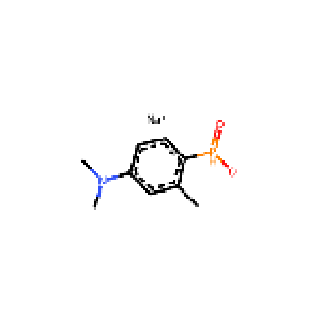 Cc1cc(N(C)C)ccc1[PH](=O)[O-].[Na+]